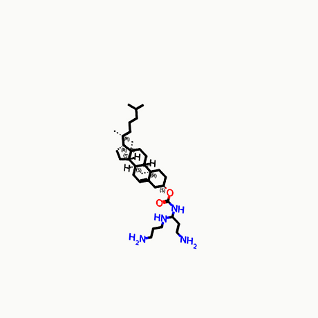 CC(C)CCC[C@@H](C)[C@H]1CC[C@H]2[C@@H]3CC=C4C[C@@H](OC(=O)NC(CCN)NCCCN)CC[C@]4(C)[C@H]3CC[C@]12C